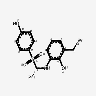 [CH2][C@H](C)Cc1cccc(N[C@H](C(C)C)S(=O)(=O)c2ccc(O)cc2)c1O